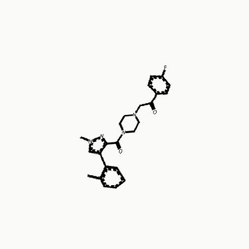 Cc1ccccc1-c1cn(C)nc1C(=O)N1CCN(CC(=O)c2ccc(F)cc2)CC1